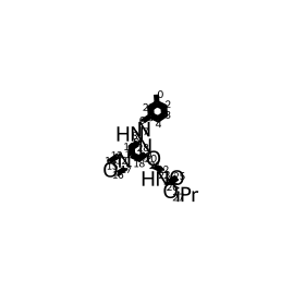 Cc1cccc(/C=N/Nc2cc(N3CCOCC3)cc(OCCNC(=O)OC(C)C)n2)c1